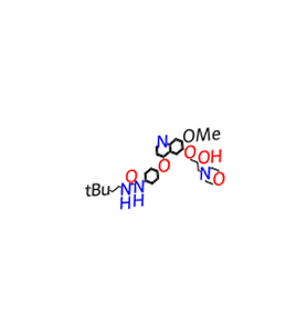 COc1cc2nccc(Oc3ccc(NC(=O)NCCC(C)(C)C)cc3)c2cc1OCC(O)CN1CCOCC1